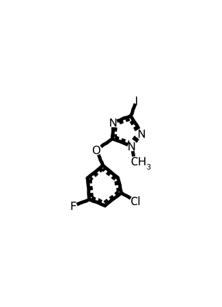 Cn1nc(I)nc1Oc1cc(F)cc(Cl)c1